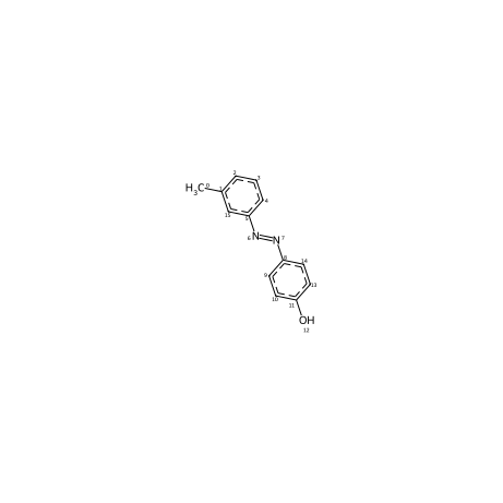 Cc1cccc(/N=N/c2ccc(O)cc2)c1